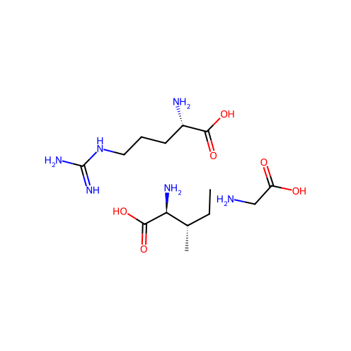 CC[C@H](C)[C@H](N)C(=O)O.N=C(N)NCCC[C@H](N)C(=O)O.NCC(=O)O